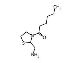 CCCCCC(=O)N1CCSC1CN